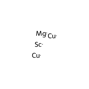 [Cu].[Cu].[Mg].[Sc]